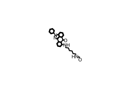 O=CNCCCCCCNc1cccc2c1C(=O)c1cccc3c1c-2nn3-c1ccccc1